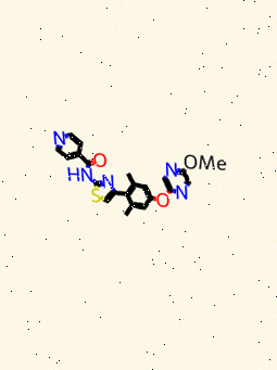 COc1cnc(Oc2cc(C)c(-c3csc(NC(=O)c4ccncc4)n3)c(C)c2)cn1